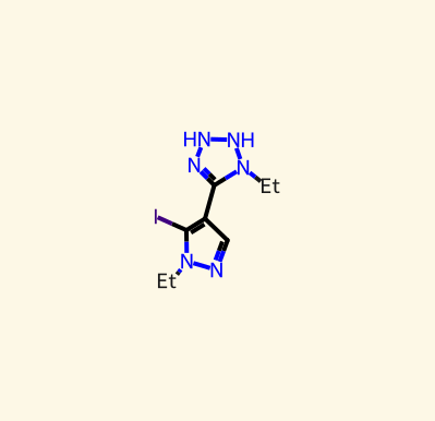 CCN1NNN=C1c1cnn(CC)c1I